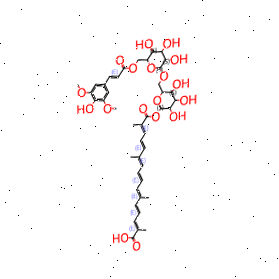 COc1cc(/C=C/C(=O)OCC2O[C@@H](OCC3O[C@@H](OC(=O)/C(C)=C/C=C/C(C)=C/C=C/C=C(C)/C=C/C=C(\C)C(=O)O)C(O)C(O)[C@@H]3O)[C@@H](O)C(O)[C@@H]2O)cc(OC)c1O